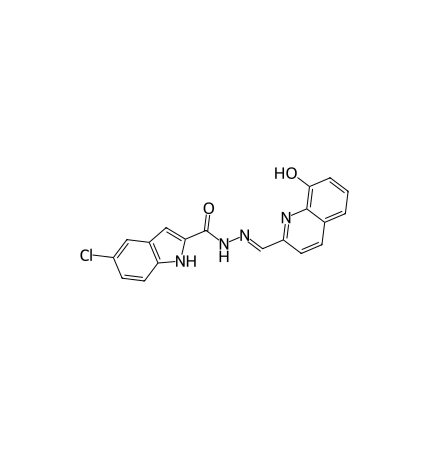 O=C(NN=Cc1ccc2cccc(O)c2n1)c1cc2cc(Cl)ccc2[nH]1